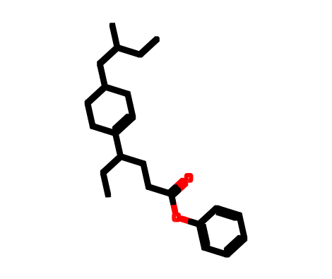 CCC(C)CC1CC=C(C(CC)CCC(=O)Oc2ccccc2)CC1